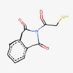 O=C(CS)N1C(=O)c2ccccc2C1=O